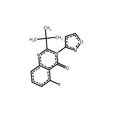 CC(C)(C)c1nc2cccc(F)c2c(=O)n1-c1ccon1